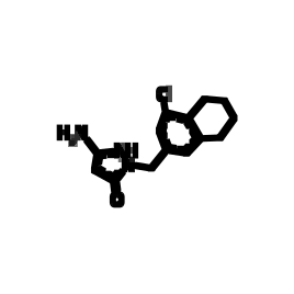 Nc1cc(=O)n(Cc2cc(Cl)c3c(c2)CCCC3)[nH]1